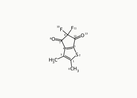 Cc1sc2c(c1C)C(=O)C(F)(F)C2=O